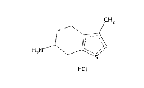 Cc1csc2c1CCC(N)C2.Cl